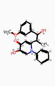 COc1cccc(C(O)C(C)c2cc(=O)c(O)cn2-c2ccccc2)c1